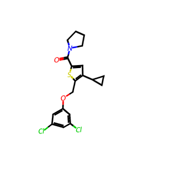 O=C(c1cc(C2CC2)c(COc2cc(Cl)cc(Cl)c2)s1)N1CCCC1